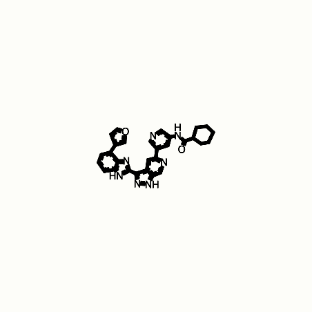 O=C(Nc1cncc(-c2cc3c(-c4nc5c(-c6ccoc6)cccc5[nH]4)n[nH]c3cn2)c1)C1CCCCC1